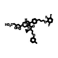 Cc1cccc(OCCN(C(=O)C2=C(c3ccc(CCCOc4c(F)ccc(F)c4F)cc3)C[C@@H]3CN(C(=O)C[C@@H](O)CC(=O)O)C[C@H]2N3)C2CC2)c1